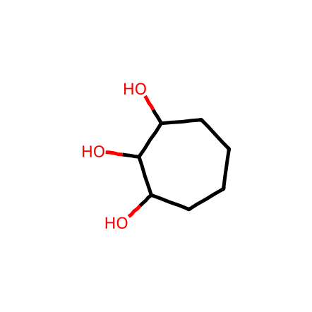 OC1CCCCC(O)C1O